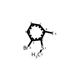 CSc1c(Br)cccc1I